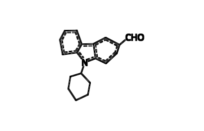 O=Cc1ccc2c(c1)c1ccccc1n2C1CCCCC1